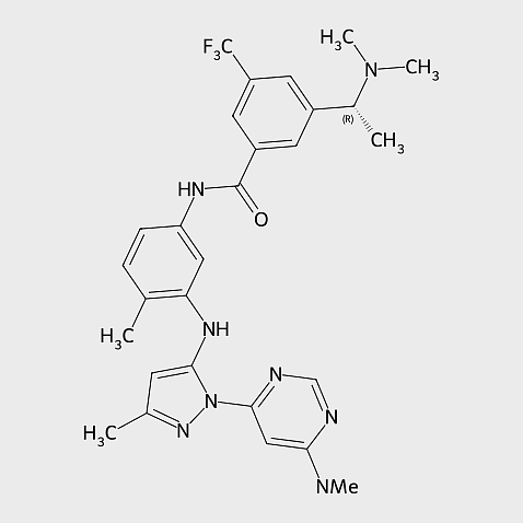 CNc1cc(-n2nc(C)cc2Nc2cc(NC(=O)c3cc([C@@H](C)N(C)C)cc(C(F)(F)F)c3)ccc2C)ncn1